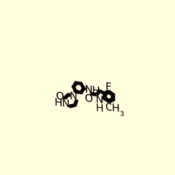 Cc1ccc(F)c2c1NC(C(=O)N[C@@H]1CCC[C@H](N3CCCNC(=O)C3)C1)C2